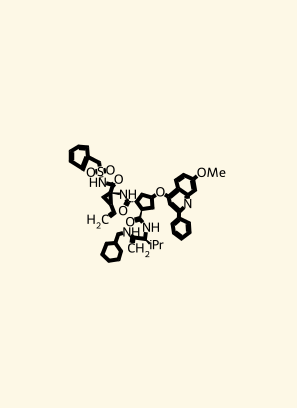 C=CC1C[C@]1(NC(=O)[C@@H]1CC(Oc2cc(-c3ccccc3)nc3cc(OC)ccc23)C[C@H]1C(=O)N[C@H](C(=C)NCC1CCCCC1)C(C)C)C(=O)NS(=O)(=O)Cc1ccccc1